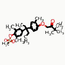 CCC(CC)(c1ccc(OCC(=O)C(C)(C)C)c(C)c1)c1cc(C)c(OS(C)(=O)=O)c(C)c1